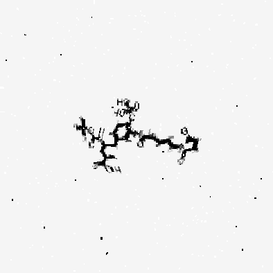 CC(CC(Cc1ccc(OP(=O)(O)O)c(NC(=O)CCCCN2C(=O)C=CC2=O)c1)NC(=O)OC(C)(C)C)C(=O)O